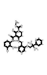 COc1c(Cl)cccc1NC(=S)C1=C(NCc2ccncc2OCC(C)(C)c2ccccn2)CCN(C(=O)OC(C)(C)C)C1=O